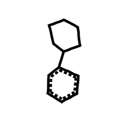 [c]1[c]cc(C2CCCCC2)cc1